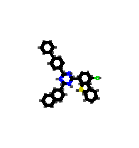 Clc1ccc(-c2nc(-c3ccc(-c4ccccc4)cc3)nc(-c3ccc4ccccc4c3)n2)c2sc3ccccc3c12